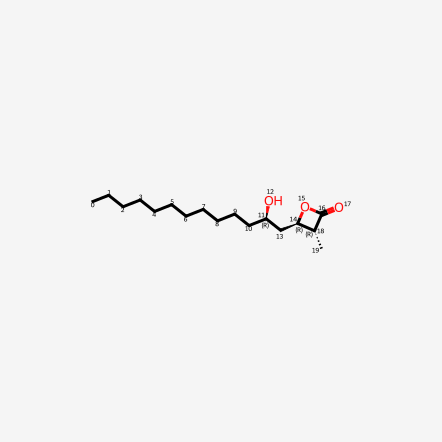 CCCCCCCCCCC[C@@H](O)C[C@H]1OC(=O)[C@@H]1C